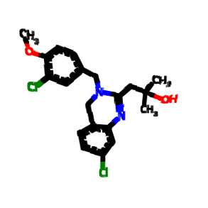 COc1ccc(CN2Cc3ccc(Cl)cc3N=C2CC(C)(C)O)cc1Cl